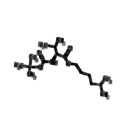 CC(C)CCCCOC(=O)[C@@H](NC(=O)OC(C)(C)C)C(C)C